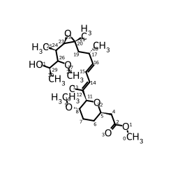 COC(=O)C[C@H]1CC[C@H](OC)[C@@H](/C(C)=C/C=C/[C@@H](C)C[C@@]2(C)O[C@@H]2[C@H](C)C(OC)[C@@H](C)O)O1